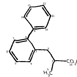 CC(Cc1ccccc1-c1ccccc1)C(=O)O